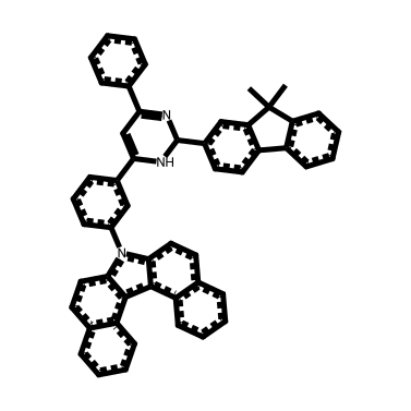 CC1(C)c2ccccc2-c2ccc(C3N=C(c4ccccc4)C=C(c4cccc(-n5c6ccc7ccccc7c6c6c7ccccc7ccc65)c4)N3)cc21